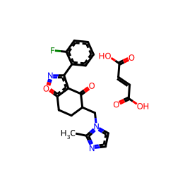 Cc1nccn1CC1CCc2onc(-c3ccccc3F)c2C1=O.O=C(O)C=CC(=O)O